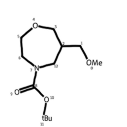 COCC1COCCN(C(=O)OC(C)(C)C)C1